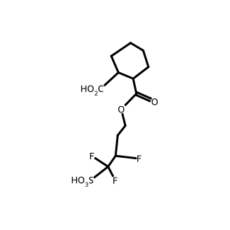 O=C(O)C1CCCCC1C(=O)OCCC(F)C(F)(F)S(=O)(=O)O